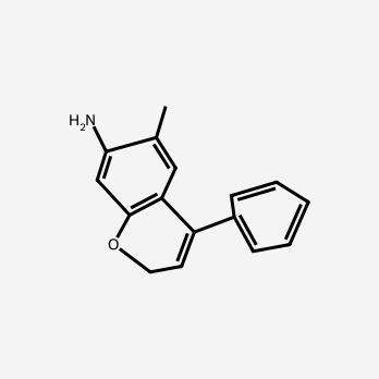 Cc1cc2c(cc1N)OCC=C2c1ccccc1